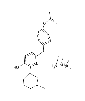 CC(=O)Oc1ccc(Cc2ccc(O)c(C3CCCC(C)C3)n2)cc1.CN.CN.CN